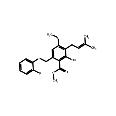 COC(=O)c1c(CSc2ccccc2F)cc(OC)c(CC=C(C)C)c1O